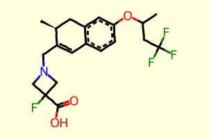 CC(CC(F)(F)F)Oc1ccc2c(c1)C[C@H](C)C(CN1CC(F)(C(=O)O)C1)=C2